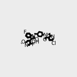 COc1cc(C2(O)C(=O)N(CC3CCC(NC(=O)c4cc(Cl)cnc4C)CC3)c3cc(F)ccc32)c(F)cn1